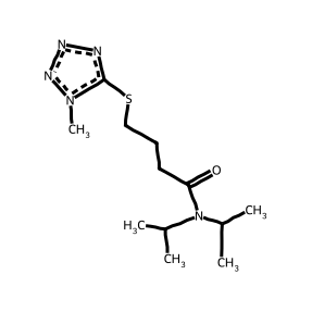 CC(C)N(C(=O)CCCSc1nnnn1C)C(C)C